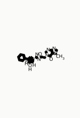 Cn1cnc2ncn(Cc3nc([C@]45C6=C(c7ccccc7)[C@@H](O)[C@@H]4[C@H]65)no3)c(=O)c21